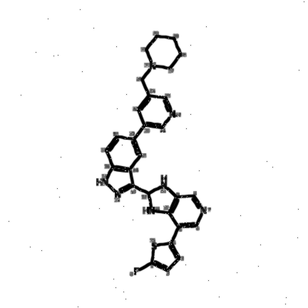 Fc1ccc(-c2cncc3c2NC(c2n[nH]c4ccc(-c5cncc(CN6CCCCC6)c5)cc24)N3)s1